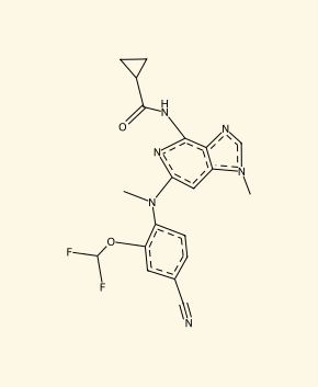 CN(c1cc2c(ncn2C)c(NC(=O)C2CC2)n1)c1ccc(C#N)cc1OC(F)F